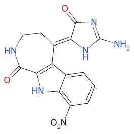 NC1=NC(=O)/C(=C2\CCNC(=O)c3[nH]c4c([N+](=O)[O-])cccc4c32)N1